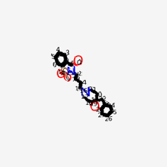 O=C1c2ccccc2S(=O)(=O)N1CCCCN1CCC2(CC1)Cc1ccccc1O2